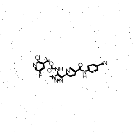 C[C@@H](OC(=O)Nc1c(-c2ccc(C(=O)Nc3ccc(C#N)cc3)cn2)nnn1C)c1cc(F)cnc1Cl